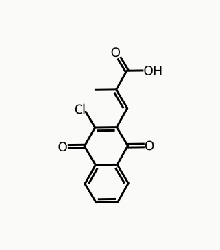 C/C(=C\C1=C(Cl)C(=O)c2ccccc2C1=O)C(=O)O